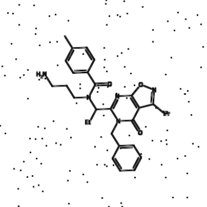 CCC(c1nc2onc(C(C)C)c2c(=O)n1Cc1ccccc1)N(CCCN)C(=O)c1ccc(C)cc1